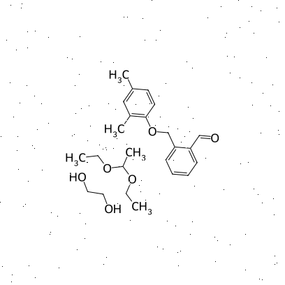 CCOC(C)OCC.Cc1ccc(OCc2ccccc2C=O)c(C)c1.OCCO